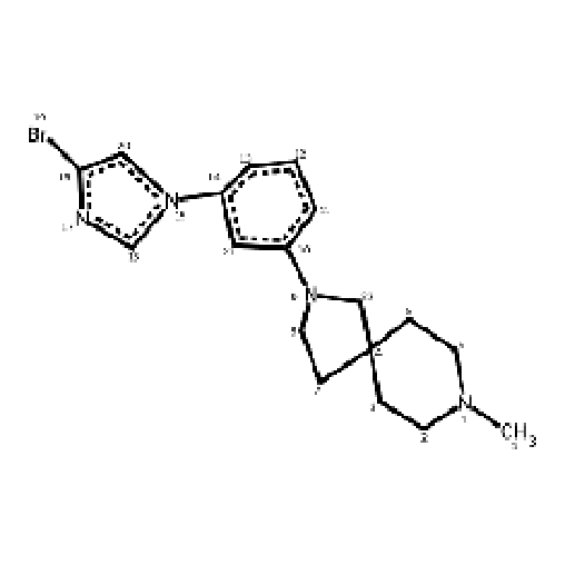 CN1CCC2(CC1)CCN(c1cccc(-n3cnc(Br)c3)c1)C2